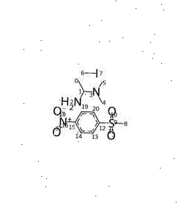 CC(N)N(C)C.CI.CS(=O)(=O)c1ccc([N+](=O)[O-])cc1